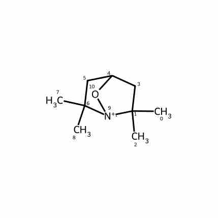 CC1(C)CC2CC(C)(C)[N+]1O2